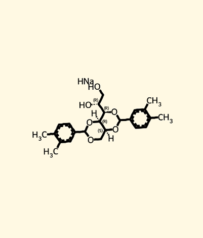 Cc1ccc(C2OC[C@@H]3OC(c4ccc(C)c(C)c4)O[C@H]([C@H](O)CO)[C@@H]3O2)cc1C.[NaH]